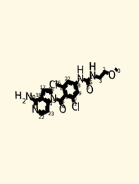 COCCNC(=O)Nc1cc(Cl)c(C(=O)n2ccc3c(N)nccc32)c(Cl)c1